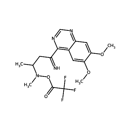 COc1cc2ncnc(C(=N)CC(C)N(C)OC(=O)C(F)(F)F)c2cc1OC